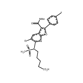 CCc1cc2c(C(=O)NC)c(-c3ccc(F)cc3)oc2nc1N(CCCCC(=O)O)S(C)(=O)=O